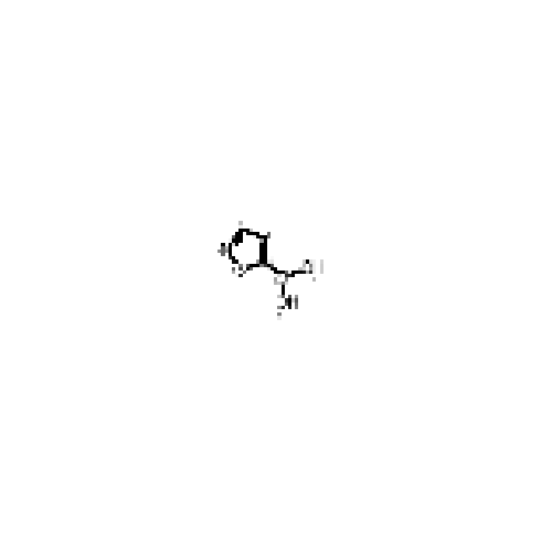 OB(O)c1ccns1